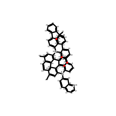 Cc1cc(N(c2ccccc2)c2ccc3cccnc3c2)c2c3ccccc3c3c(N(c4ccc5c(c4)C(C)(C)c4ccccc4-5)c4ccccc4-c4ccccc4)cc(C)c4ccc1c2c43